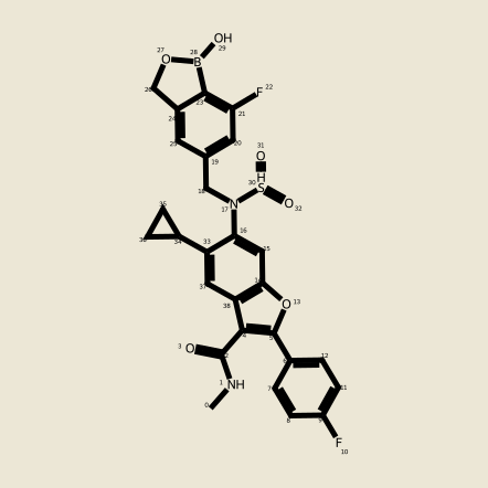 CNC(=O)c1c(-c2ccc(F)cc2)oc2cc(N(Cc3cc(F)c4c(c3)COB4O)[SH](=O)=O)c(C3CC3)cc12